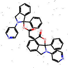 O=C(/C=C\C(=O)OC1(c2ccccc2)c2ccccc2CN1c1ccncc1)OC1(c2ccccc2)c2ccccc2CN1c1ccncc1